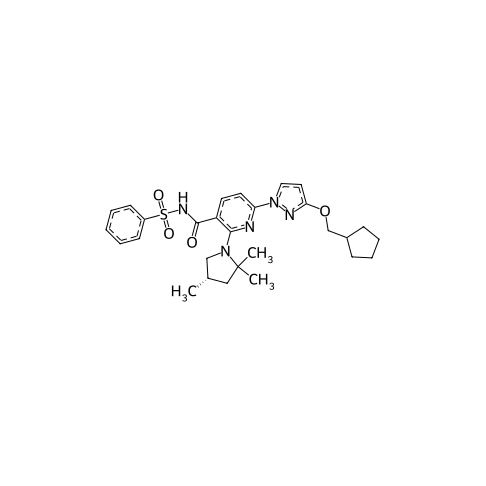 C[C@@H]1CN(c2nc(-n3ccc(OCC4CCCC4)n3)ccc2C(=O)NS(=O)(=O)c2ccccc2)C(C)(C)C1